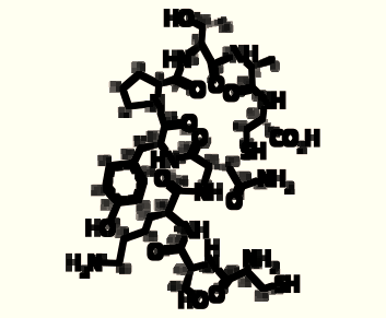 C[C@H](NC(=O)[C@@H](NC(=O)[C@@H]1CCCN1C(=O)[C@H](Cc1ccc(O)cc1)NC(=O)[C@H](CC(N)=O)NC(=O)[C@H](CCCCN)NC(=O)[C@H](CO)NC(=O)[C@@H](N)CS)[C@@H](C)O)C(=O)N[C@@H](CS)C(=O)O